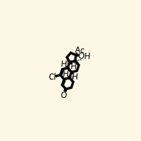 CC(=O)[C@@]1(O)CC[C@H]2[C@@H]3C=C(Cl)C4=CC(=O)CC[C@@H]4[C@H]3CC[C@@]21C